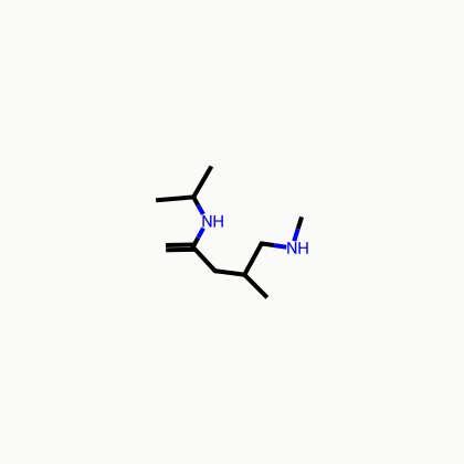 C=C(CC(C)CNC)NC(C)C